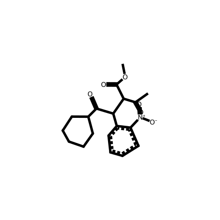 COC(=O)C(C(C)=O)C(C(=O)C1CCCCC1)c1ccccc1[N+](=O)[O-]